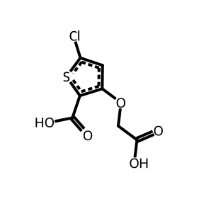 O=C(O)COc1cc(Cl)sc1C(=O)O